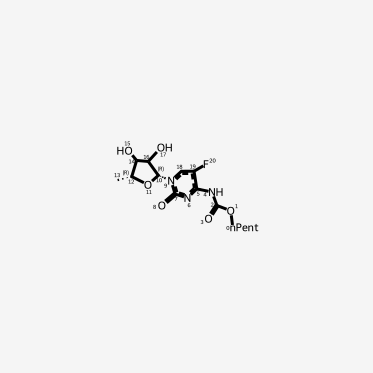 CCCCCOC(=O)Nc1nc(=O)n([C@@H]2O[C@H](C)C(O)C2O)cc1F